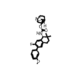 COc1cccc(-c2cc3c(cc2F)[C@H](NC(=O)O[C@@H]2CN4CCC2CC4)C(C)(C)CC3)c1